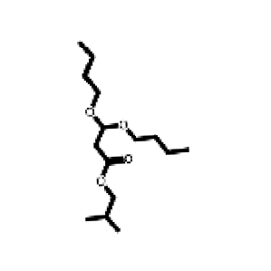 CCCCOC(CC(=O)OCC(C)C)OCCCC